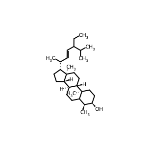 CCC(C=CC(C)[C@H]1CC[C@H]2[C@@H]3CCC4[C@H](C)[C@H](O)CC[C@]4(C)[C@H]3CC[C@]12C)C(C)C